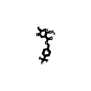 CC1=C(C(=O)OCc2ccc(C(F)(F)F)cc2)CNC(=S)N1